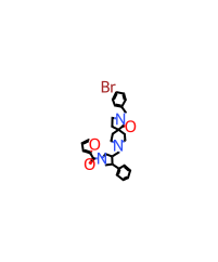 O=C(c1ccco1)N1CC(CN2CCC3(CC2)CCN(Cc2ccc(Br)cc2)C3=O)C(c2ccccc2)C1